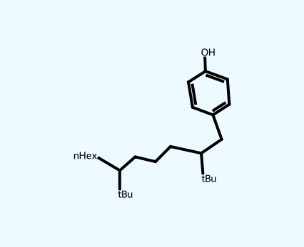 CCCCCCC(CCCC(Cc1ccc(O)cc1)C(C)(C)C)C(C)(C)C